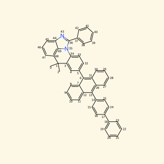 CC1(C)c2cc(-c3c4ccccc4c(-c4ccc(-c5ccccc5)cc4)c4ccccc34)ccc2-n2c(-c3ccccc3)nc3cccc1c32